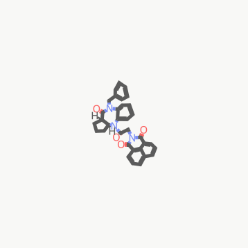 O=C1c2cccc3cccc(c23)C(=O)N1CC(=O)N1c2ccccc2N(Cc2ccccc2)C(=O)[C@H]2CCC[C@H]21